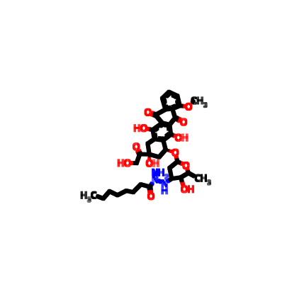 CCCCCCCC(=O)N(N)NC1CC(O[C@H]2C[C@](O)(C(=O)CO)Cc3c(O)c4c(c(O)c32)C(=O)c2c(OC)cccc2C4=O)OC(C)C1O